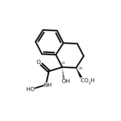 O=C(O)[C@@H]1CCc2ccccc2[C@]1(O)C(=O)NO